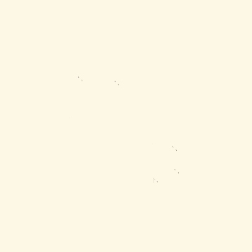 Fc1ccc(-c2nc[nH]c2-c2ccc3nnn(-c4ccccc4)c3c2)cc1F